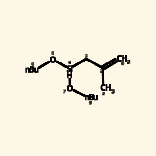 C=C(C)C[SiH](OCCCC)OCCCC